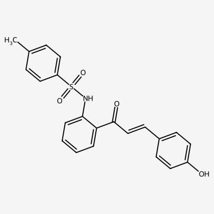 Cc1ccc(S(=O)(=O)Nc2ccccc2C(=O)C=Cc2ccc(O)cc2)cc1